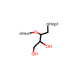 CCCCCCCCC(OCCCCCC)C(O)CO